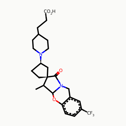 CC1C2Oc3ccc(C(F)(F)F)cc3CN2C(=O)[C@]12CC[C@@H](N1CCC(CCC(=O)O)CC1)C2